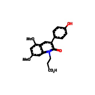 COc1cc(OC)c2cc(-c3ccc(O)cc3)c(=O)n(CCC(=O)O)c2c1